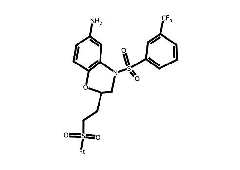 CCS(=O)(=O)CCC1CN(S(=O)(=O)c2cccc(C(F)(F)F)c2)c2cc(N)ccc2O1